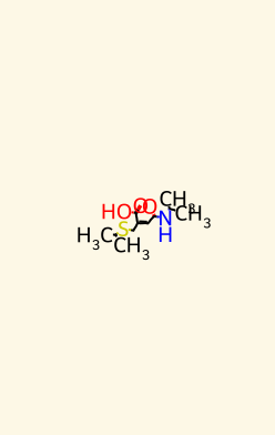 CC(C)NC(=O)/C=C(/CSC(C)C)C(=O)O